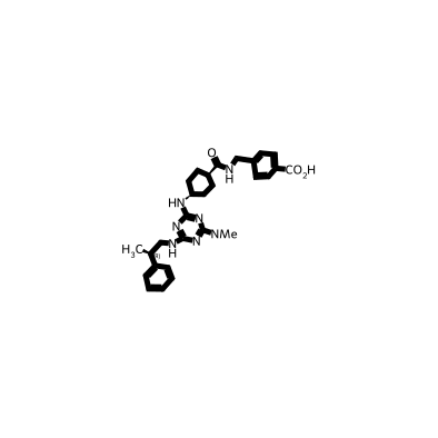 CNc1nc(NC[C@H](C)c2ccccc2)nc(N[C@H]2CC[C@H](C(=O)NCc3ccc(C(=O)O)cc3)CC2)n1